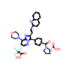 O=C(O)C(F)(F)F.O=C(O)[C@@H]1CCCN1C(=O)c1ccc(-c2c(/C=C/c3ccc4ccccc4n3)nc3c(N4CCOCC4)ccnn23)cc1